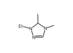 CCN1N=CN(C)C1C